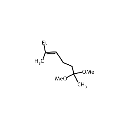 CCC(C)=CCCC(C)(OC)OC